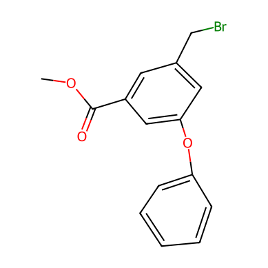 COC(=O)c1cc(CBr)cc(Oc2ccccc2)c1